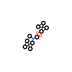 c1ccc(N(c2ccc3c(c2)Oc2cc4c(cc2O3)-c2ccccc2C42c3ccccc3-c3ccccc32)c2ccc3c(c2)C2(c4ccccc4-c4ccccc42)c2ccccc2-3)cc1